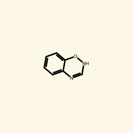 [C]1=Nc2ccccc2ON1